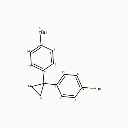 CC(C)(C)c1ccc(C2(c3ccc(F)cc3)CC2)cc1